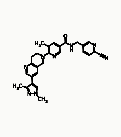 Cc1cc(C(=O)NCc2ccc(C#N)nc2)cnc1N1CCc2ncc(-c3cn(C)nc3C)cc2C1